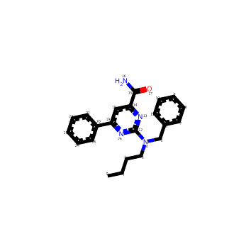 CCCCN(Cc1ccccc1)c1nc(C(N)=O)cc(-c2ccccc2)n1